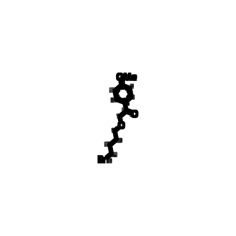 COc1ccc(C(=O)COCCCCBr)cc1